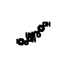 O=C(CN1C[C@H]2C[C@H](Oc3ccncc3)C[C@H]2C1)c1ccc(O)cc1